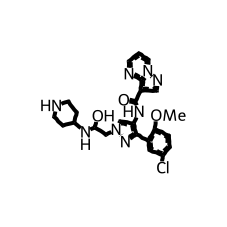 COc1ccc(Cl)cc1-c1nn(CC(O)NC2CCNCC2)cc1NC(=O)c1cnn2cccnc12